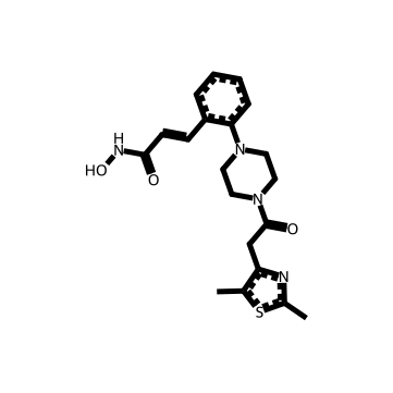 Cc1nc(CC(=O)N2CCN(c3ccccc3/C=C/C(=O)NO)CC2)c(C)s1